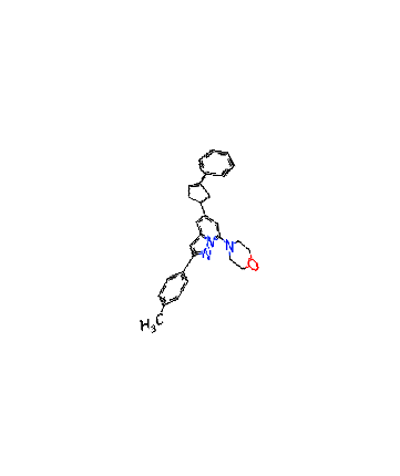 Cc1ccc(-c2cc3cc(C4CC=C(c5ccccc5)C4)cc(N4CCOCC4)n3n2)cc1